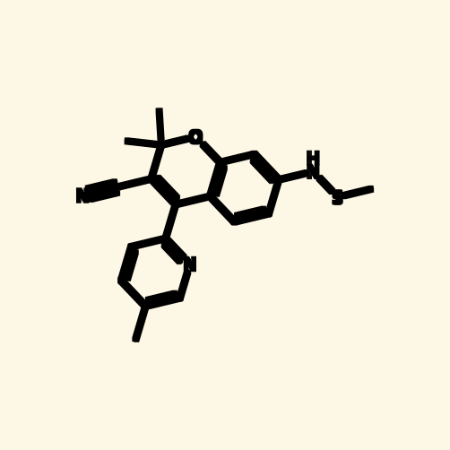 CSNc1ccc2c(c1)OC(C)(C)C(C#N)=C2c1ccc(C)cn1